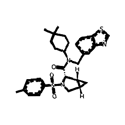 Cc1ccc(S(=O)(=O)N2C[C@H]3C[C@H]3[C@H]2C(=O)N(Cc2ccc3scnc3c2)C2CCC(C)(C)CC2)cc1